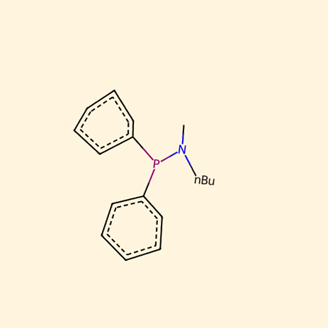 CCCCN(C)P(c1ccccc1)c1ccccc1